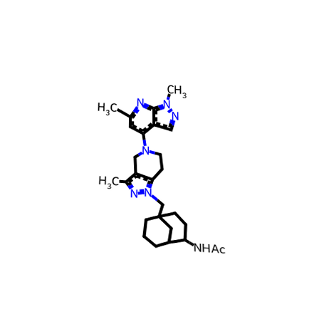 CC(=O)NC1CCC2(Cn3nc(C)c4c3CCN(c3cc(C)nc5c3cnn5C)C4)CCCC1C2